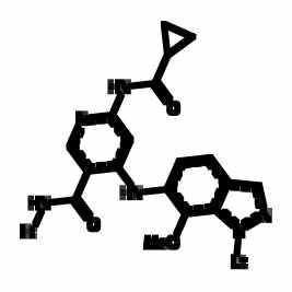 CCNC(=O)c1cnc(NC(=O)C2CC2)cc1Nc1ccc2cnn(CC)c2c1OC